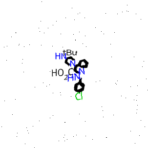 CC(C)(C)NC1CCN(c2c(C(=O)O)c(NCc3ccc(Cl)cc3)nc3ccccc23)CC1